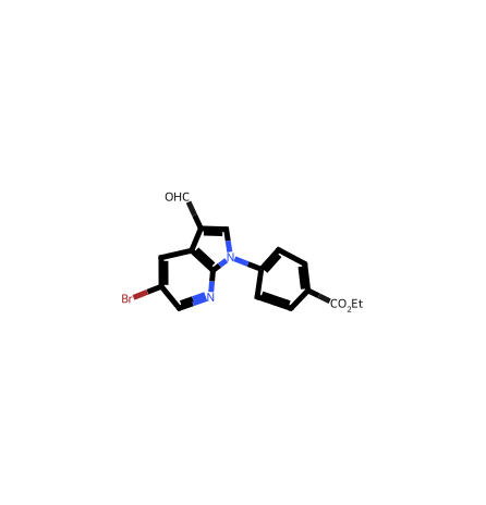 CCOC(=O)c1ccc(-n2cc(C=O)c3cc(Br)cnc32)cc1